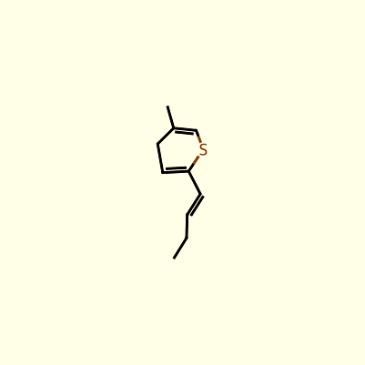 CC/C=C/C1=CCC(C)=CS1